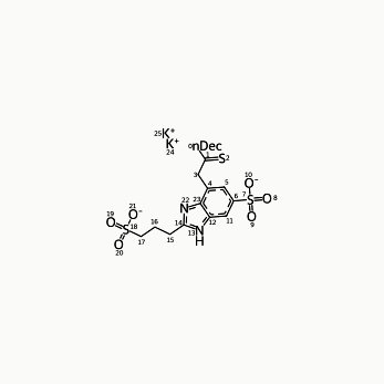 CCCCCCCCCCC(=S)Cc1cc(S(=O)(=O)[O-])cc2[nH]c(CCCS(=O)(=O)[O-])nc12.[K+].[K+]